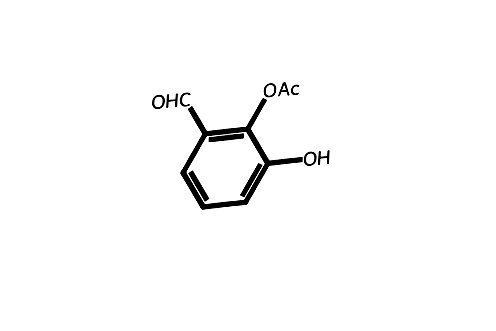 [CH2]C(=O)Oc1c(O)cccc1C=O